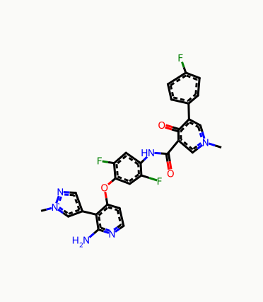 Cn1cc(C(=O)Nc2cc(F)c(Oc3ccnc(N)c3-c3cnn(C)c3)cc2F)c(=O)c(-c2ccc(F)cc2)c1